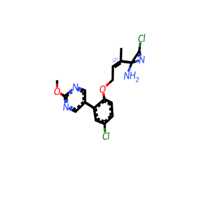 COc1ncc(-c2cc(Cl)ccc2OC/C=C(/C)C2(N)N=C2Cl)cn1